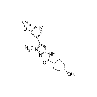 COc1cncc(-c2cc(NC(=O)C3CCC(O)CC3)nn2C)c1